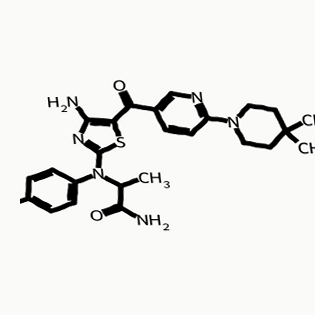 CC(C(N)=O)N(c1ccc(F)cc1)c1nc(N)c(C(=O)c2ccc(N3CCC(C)(C)CC3)nc2)s1